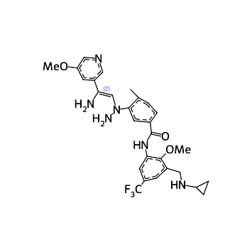 COc1cncc(/C(N)=C/N(N)c2cc(C(=O)Nc3cc(C(F)(F)F)cc(CNC4CC4)c3OC)ccc2C)c1